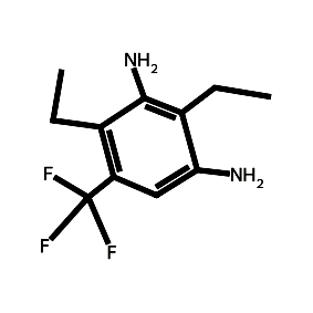 CCc1c(N)cc(C(F)(F)F)c(CC)c1N